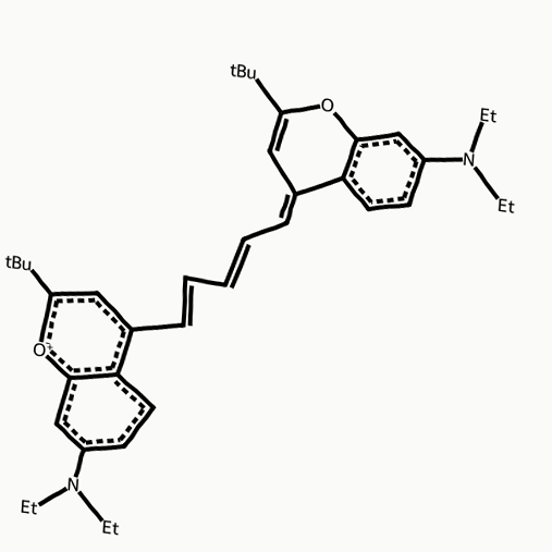 CCN(CC)c1ccc2c(c1)OC(C(C)(C)C)=C\C2=C/C=C/C=C/c1cc(C(C)(C)C)[o+]c2cc(N(CC)CC)ccc12